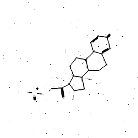 C[C@@H]1C[C@H]2[C@@H]3CCC4=CC(=O)C=C[C@]4(C)[C@@]3(F)[C@@H](O)C[C@]2(C)[C@@]1(O)C(=O)COS(=O)(=O)O